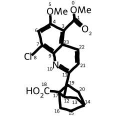 COC(=O)c1c(OC)cc(Cl)c2nc(C3CC4CCC3(C(=O)O)CC4)ccc12